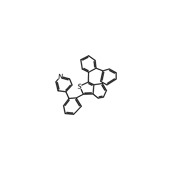 c1ccc(-c2ccccc2-c2sc(-c3ccccc3-c3ccncc3)c3ccccc23)cc1